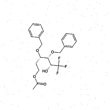 CC(=O)OCC[C@H](OCc1ccccc1)[C@H](OCc1ccccc1)[C@@H](O)C(F)(F)F